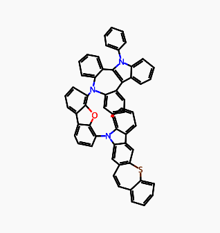 C1=Cc2cc3c(cc2Sc2ccccc21)c1ccccc1n3-c1cccc2c1oc1c(N3c4ccccc4-c4c(n(-c5ccccc5)c5ccccc45)-c4ccccc43)cccc12